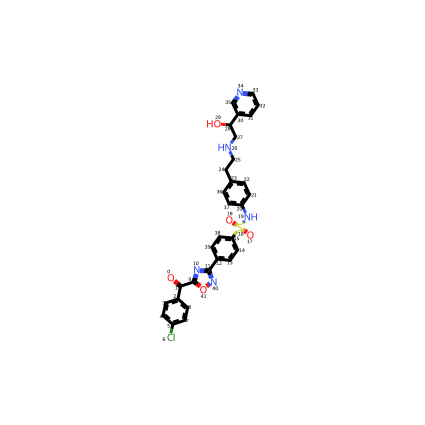 O=C(c1ccc(Cl)cc1)c1nc(-c2ccc(S(=O)(=O)Nc3ccc(CCNCC(O)c4cccnc4)cc3)cc2)no1